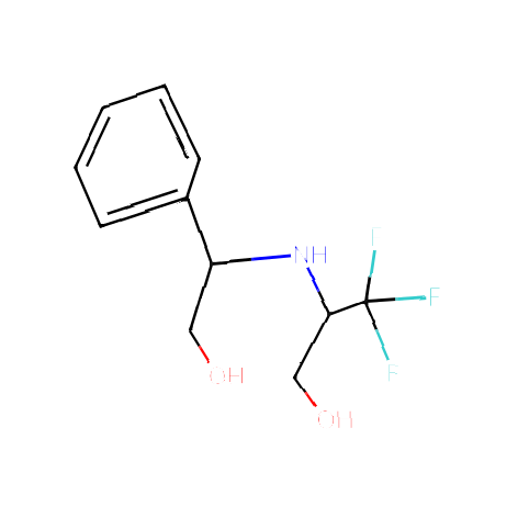 OCC(NC(CO)C(F)(F)F)c1ccccc1